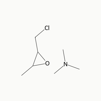 CC1OC1CCl.CN(C)C